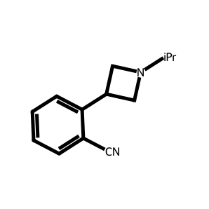 CC(C)N1CC(c2ccccc2C#N)C1